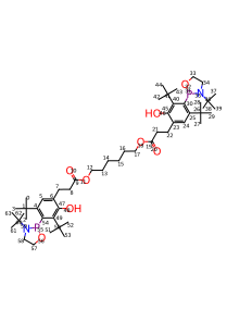 CC(C)(C)c1cc(CCC(=O)OCCCCCCOC(=O)CCc2cc(C(C)(C)C)c(P3OCCN3C(C)(C)C)c(C(C)(C)C)c2O)c(O)c(C(C)(C)C)c1P1OCCN1C(C)(C)C